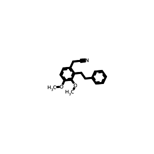 COc1ccc(CC#N)c(CCc2ccccc2)c1OC